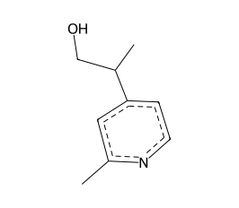 Cc1cc(C(C)CO)ccn1